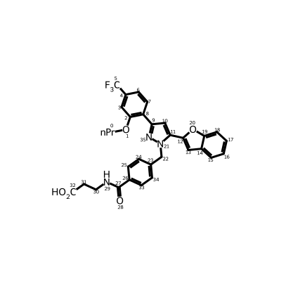 CCCOc1cc(C(F)(F)F)ccc1-c1cc(-c2cc3ccccc3o2)n(Cc2ccc(C(=O)NCCC(=O)O)cc2)n1